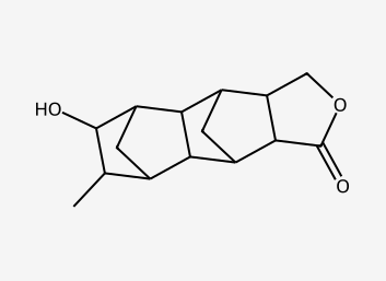 CC1C(O)C2CC1C1C3CC(C4COC(=O)C43)C21